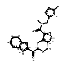 Cc1ccc(CN(C)C(=O)c2n[nH]c3c2CN(C(=O)c2cc4ccccc4[nH]2)CC3)o1